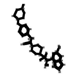 CN1CCN(Cc2ccc(NC(=O)N3CCC(C(C)(C)[C@H](O)c4cc(Cl)cc5cn[nH]c45)CC3)cc2)CC1